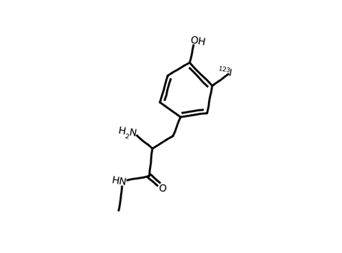 CNC(=O)C(N)Cc1ccc(O)c([123I])c1